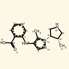 Cc1c(Nc2cnccc2C(=O)O)cnn1[C@@H]1CNC[C@@H]1C